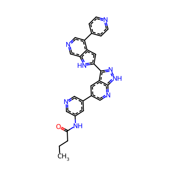 CCCC(=O)Nc1cncc(-c2cnc3[nH]nc(-c4cc5c(-c6ccncc6)cncc5[nH]4)c3c2)c1